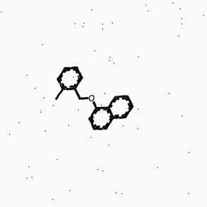 Cc1ccccc1COc1cccc2ccccc12